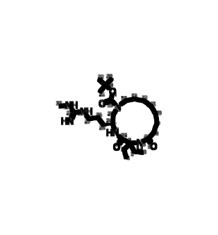 CCC1(CC)NC(=O)CCCCCCCN(C(=O)OC(C)(C)C)C[C@H](CCCNC(=N)NC)NC1=O